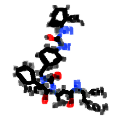 Cc1ccccc1NC(=O)Nc1ccc(CN2C(=O)N(C(CC(=O)N[C@H](C)CC(=O)O)C(C)C)C(=O)C2(C)c2ccccc2)cc1